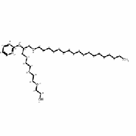 CCCCCCCCCCCCCCCCCCOCC(CSCCSCCOCCO)Oc1ncccn1